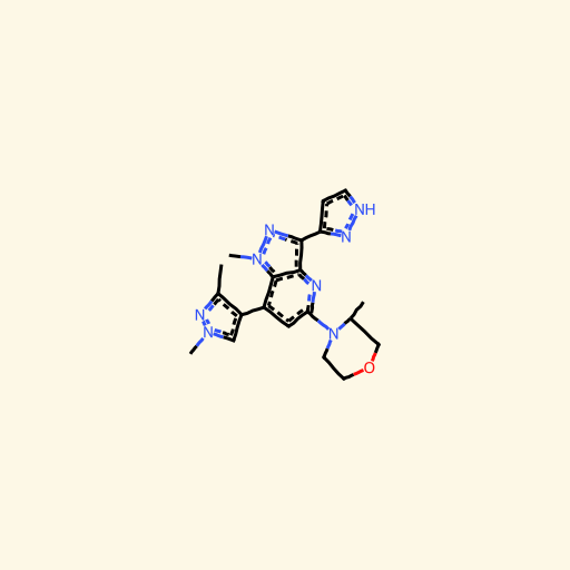 Cc1nn(C)cc1-c1cc(N2CCOCC2C)nc2c(-c3cc[nH]n3)nn(C)c12